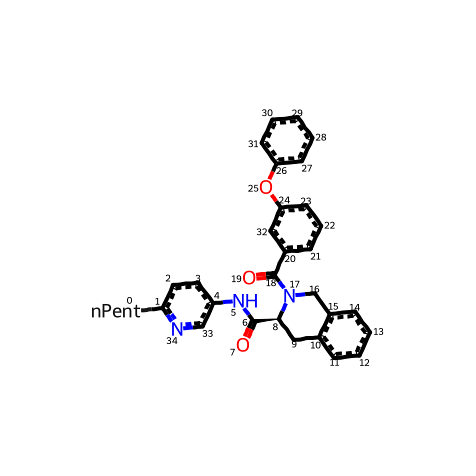 CCCCCc1ccc(NC(=O)[C@@H]2Cc3ccccc3CN2C(=O)c2cccc(Oc3ccccc3)c2)cn1